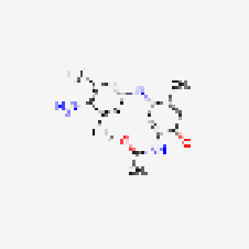 CC(=O)NC1=CC(=Nc2cc(C)c(N)c(C)c2)C(C)=CC1=O